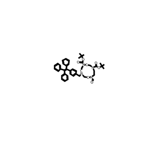 CC(C)(C)OC(=O)N1CCN(C=O)CCN(Cc2ccc(C(=C(c3ccccc3)c3ccccc3)c3ccccc3)cc2)CCN(C(=O)OC(C)(C)C)CC1